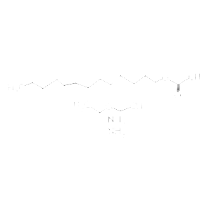 CCCCCCCCCCCCCOC(C)=O.CCOCC.N.N